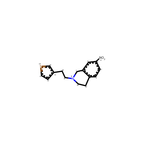 O=[N+]([O-])c1ccc2c(c1)CN(CCc1ccsc1)CC2